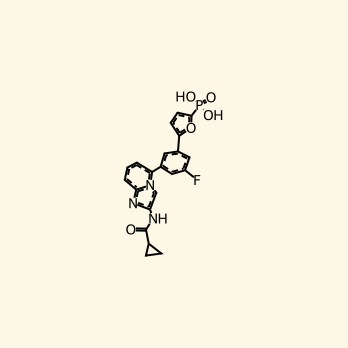 O=C(Nc1cn2c(-c3cc(F)cc(-c4ccc(P(=O)(O)O)o4)c3)cccc2n1)C1CC1